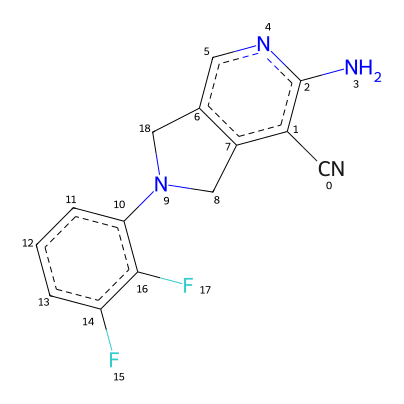 N#Cc1c(N)ncc2c1CN(c1cccc(F)c1F)C2